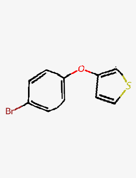 Brc1ccc(Oc2[c]scc2)cc1